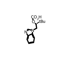 CC(C)(C)[C@@H](Cn1cnc2ccccc21)OC(=O)O